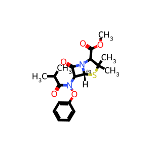 COC(=O)C1N2C(=O)C(N(Oc3ccccc3)C(=O)C(C)C)[C@H]2SC1(C)C